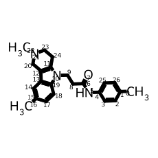 Cc1ccc(NC(=O)CCn2c3c(c4cc(C)ccc42)CN(C)CC3)cc1